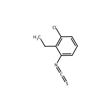 CCc1c(Cl)cccc1N=C=S